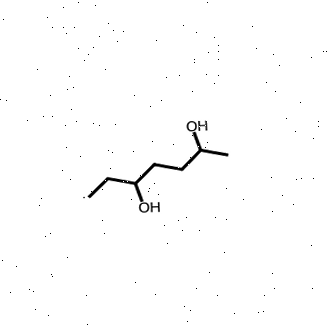 [CH2]CC(O)CCC(C)O